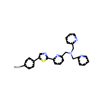 COc1ccc(-c2cnc(-c3cccc(CN(Cc4ccccn4)Cc4ccccn4)n3)s2)cc1